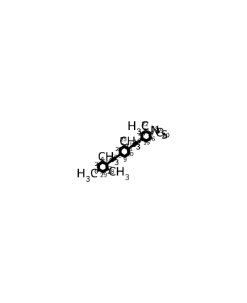 Cc1cc(C)c(C#Cc2ccc(C#Cc3ccc(N=C=S)c(C)c3)c(C)c2)c(C)c1